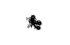 CC(C)C[C@@H](C(=O)NN1C(=O)NC2(CCCCC2)C1=O)[C@H](CCCc1ccccc1)C(=O)NOC1CCCCO1